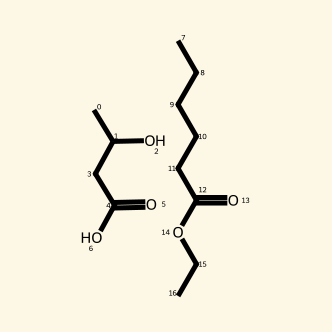 CC(O)CC(=O)O.CCCCCC(=O)OCC